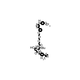 Cc1ncsc1-c1ccc(CNC(=O)C2CC(O)CN2C(=O)[C@@H](NC(=O)CCOCCOCCOc2cccc(-c3cc(Nc4ccc(OC(F)(F)F)cc4)ncn3)c2)C(C)(C)C)cc1